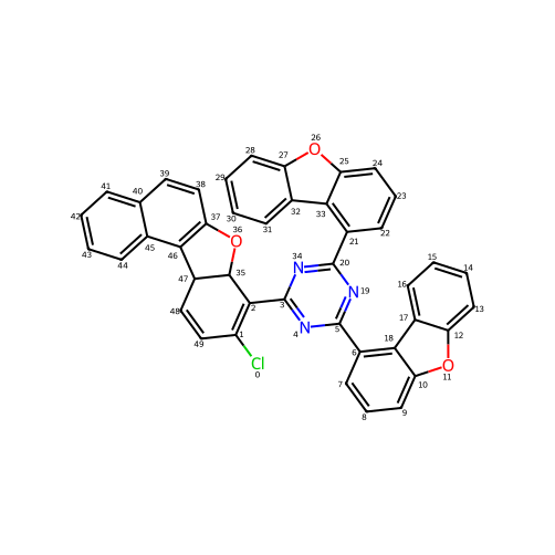 ClC1=C(c2nc(-c3cccc4oc5ccccc5c34)nc(-c3cccc4oc5ccccc5c34)n2)C2Oc3ccc4ccccc4c3C2C=C1